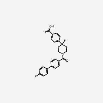 O=C(O)c1ccc(C2(F)CCN(C(=O)c3ccc(-c4ccc(F)cc4)cc3)CC2)cc1